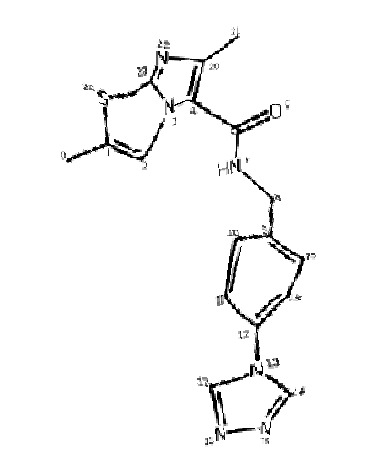 Cc1cn2c(C(=O)NCc3ccc(-n4cnnc4)cc3)c(C)nc2s1